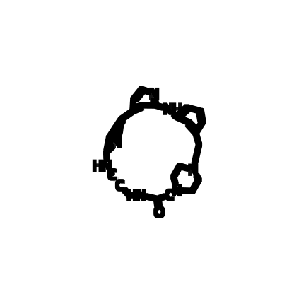 O=C1CN2CCN(CC2)Cc2cccc(c2)Nc2cc(ccn2)-c2ccc(nc2)NCCCN1